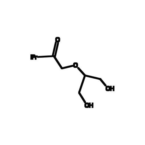 CC(C)C(=O)COC(CO)CO